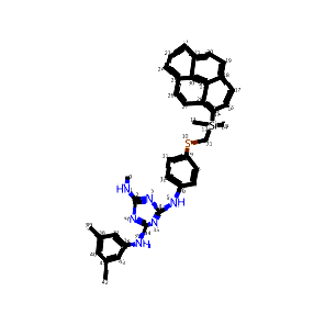 CNc1nc(Nc2ccc(SC[Si](C)(C)c3ccc4ccc5cccc6ccc3c4c56)cc2)nc(Nc2cc(C)cc(C)c2)n1